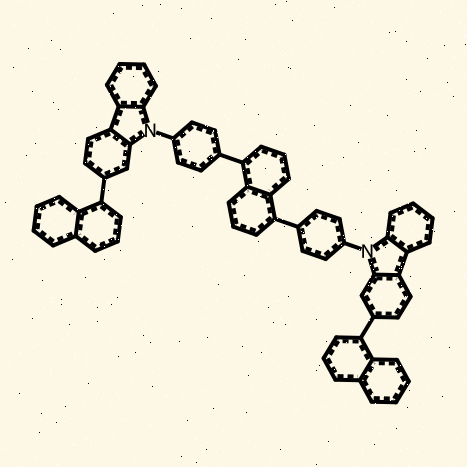 c1ccc2c(-c3ccc4c5ccccc5n(-c5ccc(-c6cccc7c(-c8ccc(-n9c%10ccccc%10c%10ccc(-c%11cccc%12ccccc%11%12)cc%109)cc8)cccc67)cc5)c4c3)cccc2c1